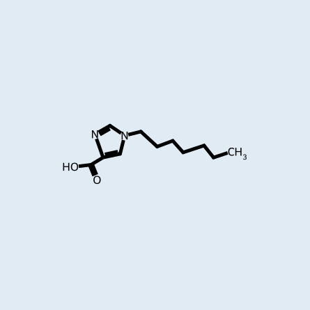 CCCCCCCn1cnc(C(=O)O)c1